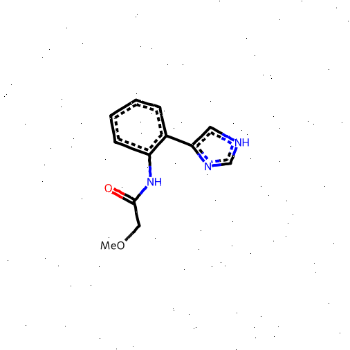 COCC(=O)Nc1ccccc1-c1c[nH]cn1